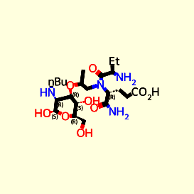 CCCCN[C@@H]1[C@@H](OC(C)CN(C(=O)C(N)CC)[C@H](CCC(=O)O)C(N)=O)[C@H](O)[C@@H](CO)O[C@@H]1O